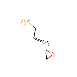 C1CO1.C=CCP